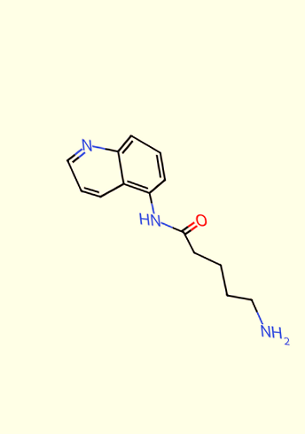 NCCCCC(=O)Nc1cccc2ncccc12